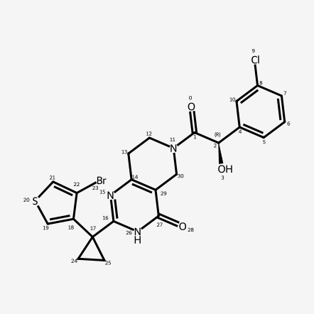 O=C([C@H](O)c1cccc(Cl)c1)N1CCc2nc(C3(c4cscc4Br)CC3)[nH]c(=O)c2C1